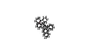 c1ccc(-c2ccccc2-n2c3ccccc3c3c4cc5ccccc5c5c6ccccc6n(c45)c32)cc1